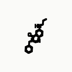 CCCNc1ccc2ncn(Cc3ccccc3)c(=O)c2c1